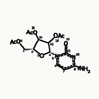 CC(=O)OC[C@H]1O[C@@H](n2ccc(N)nc2=O)C(OC(C)=O)C1OC(C)=O